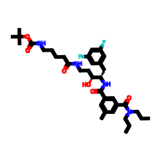 CCCN(CCC)C(=O)c1cc(C)cc(C(=O)N[C@@H](Cc2cc(F)cc(F)c2)[C@H](O)CCNC(=O)CCCCNC(=O)OC(C)(C)C)c1